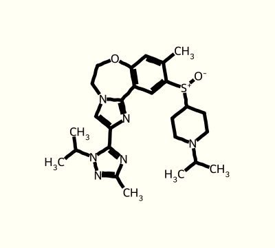 Cc1nc(-c2cn3c(n2)-c2cc([S+]([O-])C4CCN(C(C)C)CC4)c(C)cc2OCC3)n(C(C)C)n1